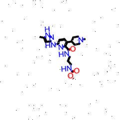 COC(=O)NCCCNC(=O)c1nc(Nc2cc(C)[nH]n2)ccc1C1CCN(C)CC1